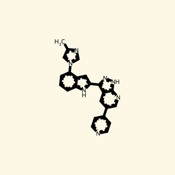 Cc1cn(-c2cccc3[nH]c(-c4n[nH]c5ncc(-c6ccncc6)cc45)cc23)cn1